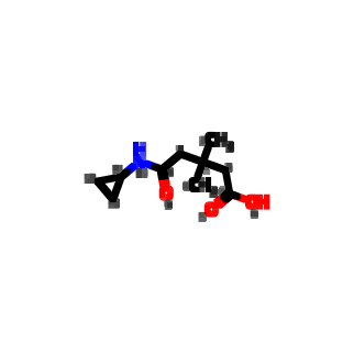 CC(C)(CC(=O)O)CC(=O)NC1CC1